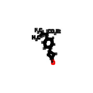 CCOC(=O)C(c1ccc(C2CC(=O)C2)cc1)[C@@H](C)C(F)(F)F